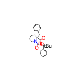 CC(C)(C)OC(=O)N1CCCCC1(Cc1ccccc1)C(=O)OCc1ccccc1